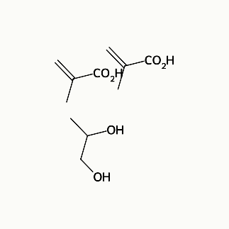 C=C(C)C(=O)O.C=C(C)C(=O)O.CC(O)CO